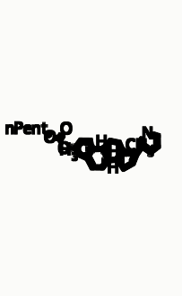 CCCCCOC(=O)O[C@H]1CC[C@@]2(C)C(=CC[C@@H]3[C@@H]2CC[C@]2(C)C(c4cccnc4)=CC[C@@H]32)C1